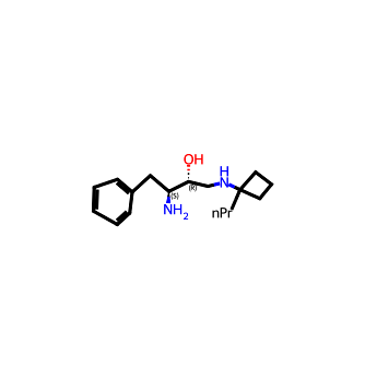 CCCC1(NC[C@@H](O)[C@@H](N)Cc2ccccc2)CCC1